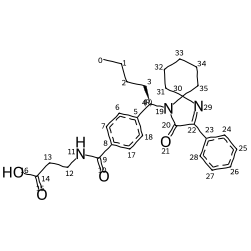 CCCC[C@H](c1ccc(C(=O)NCCC(=O)O)cc1)N1C(=O)C(c2ccccc2)=NC12CCCCC2